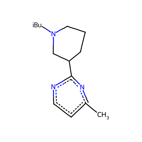 CCC(C)N1CCCC(c2nccc(C)n2)C1